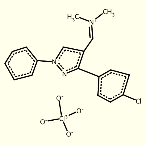 C[N+](C)=Cc1cn(-c2ccccc2)nc1-c1ccc(Cl)cc1.[O-][Cl+3]([O-])([O-])[O-]